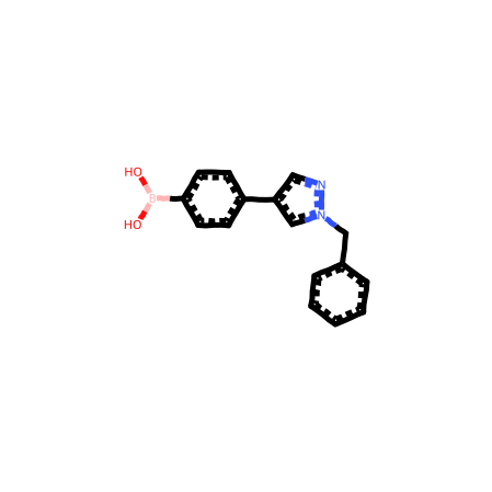 OB(O)c1ccc(-c2cnn(Cc3ccccc3)c2)cc1